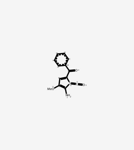 COC1=C(N)S(=C=O)C(C(=O)c2ccccc2)=C1